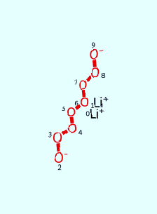 [Li+].[Li+].[O-]OOOOOO[O-]